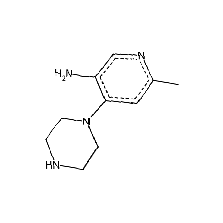 Cc1cc(N2CCNCC2)c(N)cn1